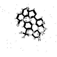 COc1ccc(-c2ccc3ncc4ccc(=O)n(-c5ccc(N6CCNCC6)c(C(F)(F)F)c5)c4c3n2)cn1